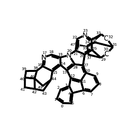 c1ccc2c(c1)c1cccc3c1c2c1c2c4c(ncc2n2c5cnc6c(c5c3c12)C1CC2CC6C[C@H](C2)C1)C1CC2CC3CC4CC321